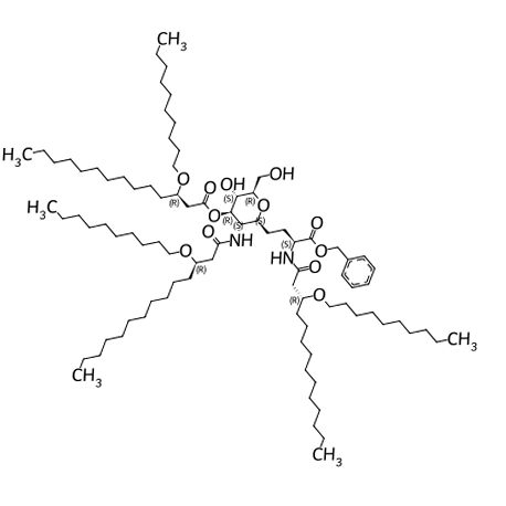 CCCCCCCCCCC[C@H](CC(=O)N[C@@H]1[C@@H](OC(=O)C[C@@H](CCCCCCCCCCC)OCCCCCCCCCC)[C@H](O)[C@@H](CO)O[C@H]1CC[C@H](NC(=O)C[C@@H](CCCCCCCCCCC)OCCCCCCCCCC)C(=O)OCc1ccccc1)OCCCCCCCCCC